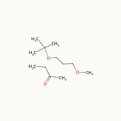 CCC(C)=O.COCCCOC(C)(C)C